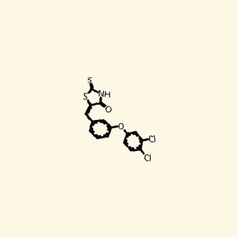 O=C1NC(=S)S/C1=C/c1cccc(Oc2ccc(Cl)c(Cl)c2)c1